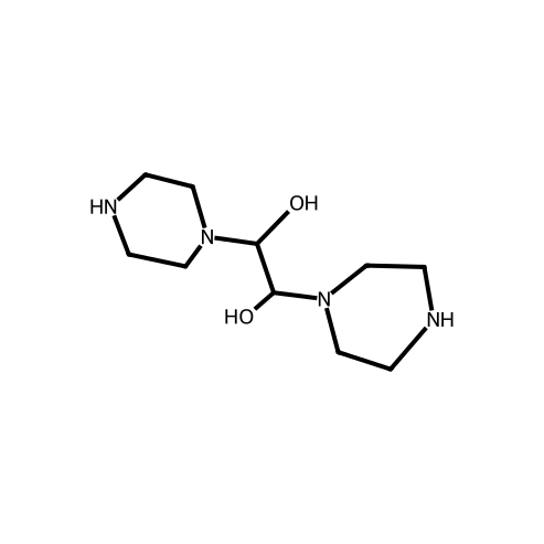 OC(C(O)N1CCNCC1)N1CCNCC1